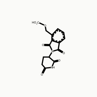 O=C1CCC(N2C(=O)c3cccc(COC(=O)O)c3C2=O)C(=O)N1